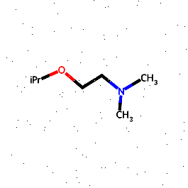 CC(C)OCCN(C)C